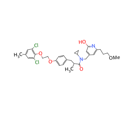 COCCCc1cc(CN(C(=O)C(C)Cc2ccc(OCCOc3c(Cl)cc(C)cc3Cl)cc2)C2CC2)cc(O)n1